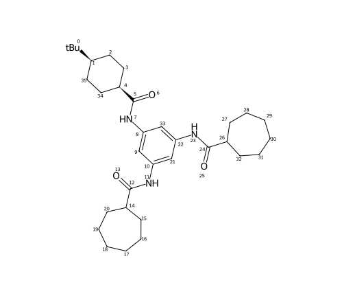 CC(C)(C)[C@H]1CC[C@@H](C(=O)Nc2cc(NC(=O)C3CCCCCC3)cc(NC(=O)C3CCCCCC3)c2)CC1